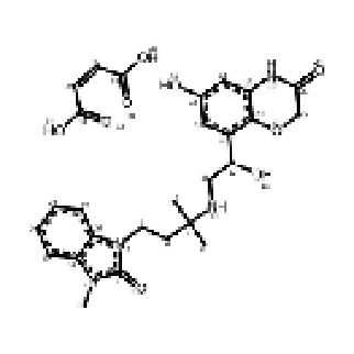 Cn1c(=O)n(CCC(C)(C)NC[C@H](O)c2cc(O)cc3c2OCC(=O)N3)c2ccccc21.O=C(O)/C=C\C(=O)O